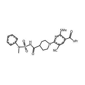 CCCC(=O)c1cc(C#N)c(N2CCC(C(=O)NS(=O)(=O)N(C)c3ccccc3)CC2)nc1SC